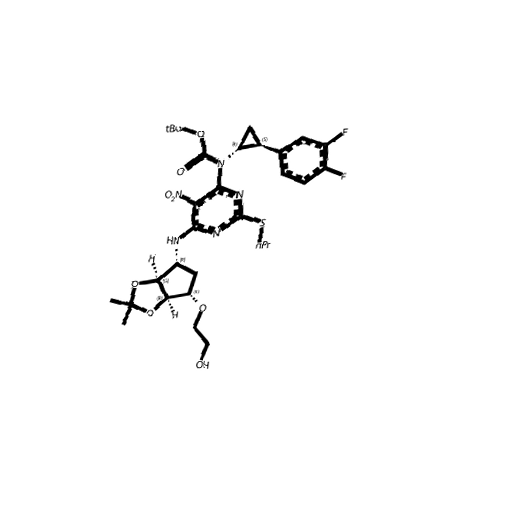 CCCSc1nc(N[C@@H]2C[C@H](OCCO)[C@H]3OC(C)(C)O[C@H]32)c([N+](=O)[O-])c(N(C(=O)OC(C)(C)C)[C@@H]2C[C@H]2c2ccc(F)c(F)c2)n1